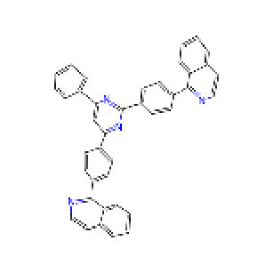 c1ccc(-c2cc(-c3ccc(-c4nccc5ccccc45)cc3)nc(-c3ccc(-c4nccc5ccccc45)cc3)n2)cc1